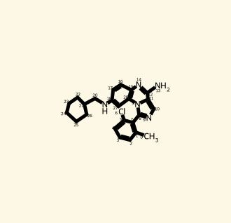 Cc1cccc(Cl)c1-c1ncc2c(N)nc3ccc(NCC4CCCCC4)cc3n12